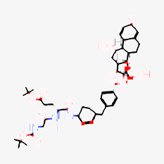 CC(C)(C)OC(=O)CC[C@H](NC(=O)CNC(=O)OC(C)(C)C)C(=O)NC12CCC(Cc3ccc([C@@H]4O[C@@H]5C[C@H]6[C@@H]7CCC8=CC(=O)C=C[C@]8(C)[C@H]7[C@@H](O)C[C@]6(C)[C@]5(C(=O)CO)O4)cc3)(CC1)CC2